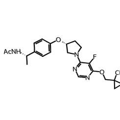 CC(=O)N[C@@H](C)c1ccc(O[C@@H]2CCN(c3ncnc(OCC4(C#N)CC4)c3F)C2)cc1